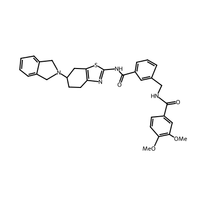 COc1ccc(C(=O)NCc2cccc(C(=O)Nc3nc4c(s3)CC(N3Cc5ccccc5C3)CC4)c2)cc1OC